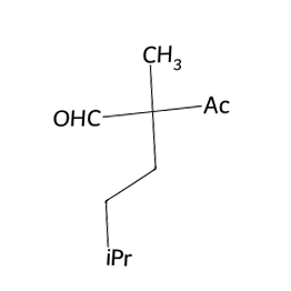 CC(=O)C(C)(C=O)CCC(C)C